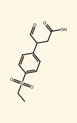 CCS(=O)(=O)c1ccc(C(C=O)CC(=O)O)cc1